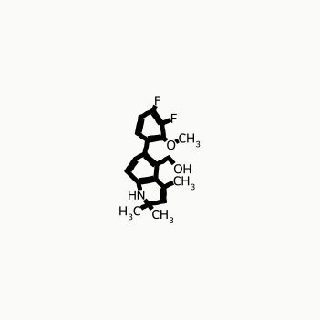 COc1c(-c2ccc3c(c2CO)C(C)=CC(C)(C)N3)ccc(F)c1F